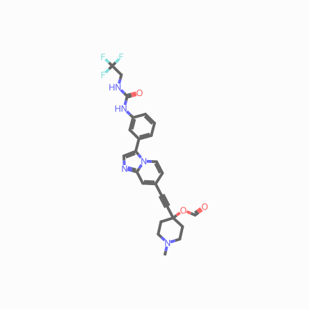 CN1CCC(C#Cc2ccn3c(-c4cccc(NC(=O)NCC(F)(F)F)c4)cnc3c2)(OC=O)CC1